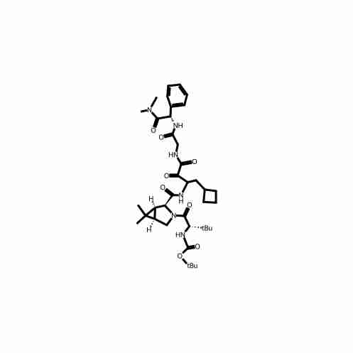 CN(C)C(=O)[C@@H](NC(=O)CNC(=O)C(=O)C(CC1CCC1)NC(=O)[C@@H]1[C@H]2[C@@H](CN1C(=O)[C@@H](NC(=O)OC(C)(C)C)C(C)(C)C)C2(C)C)c1ccccc1